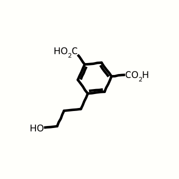 O=C(O)c1cc(CCCO)cc(C(=O)O)c1